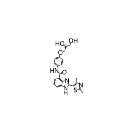 Cc1nc(C)c(-c2nc3c(C(=O)Nc4ccc(OC[C@H](O)CO)cc4)cccc3[nH]2)s1